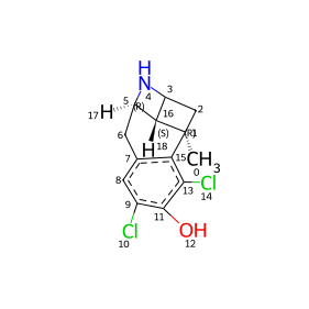 C[C@]12CC3N[C@H](Cc4cc(Cl)c(O)c(Cl)c41)[C@H]32